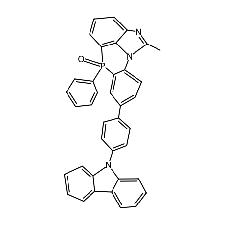 Cc1nc2cccc3c2n1-c1ccc(-c2ccc(-n4c5ccccc5c5ccccc54)cc2)cc1P3(=O)c1ccccc1